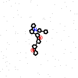 c1ccc(-c2ccc(-n3c4ccccc4c4cccc(-c5ccc6oc7ccc(-c8ccc9oc%10ccccc%10c9c8)cc7c6c5)c43)cc2)cc1